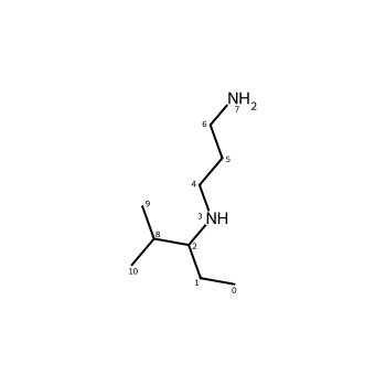 CCC(NCCCN)C(C)C